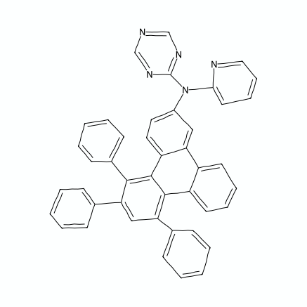 c1ccc(-c2cc(-c3ccccc3)c3c4ccccc4c4cc(N(c5ccccn5)c5ncncn5)ccc4c3c2-c2ccccc2)cc1